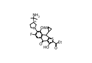 CCC(=O)c1sc2c(c1O)C(=O)c1cc(F)c(N3CC[C@@H](C(C)(C)N)C3)c(OC)c1C2C1CC1